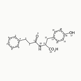 O=C(CCc1ccccc1)NC(Cc1ccc(O)cc1)C(=O)O